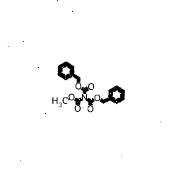 COC(=O)N(C(=O)OCc1ccccc1)C(=O)OCc1ccccc1